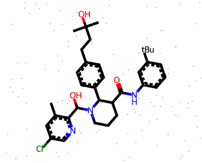 Cc1cc(Cl)cnc1C(O)N1CCCC(C(=O)Nc2cccc(C(C)(C)C)c2)C1c1ccc(CCC(C)(C)O)cc1